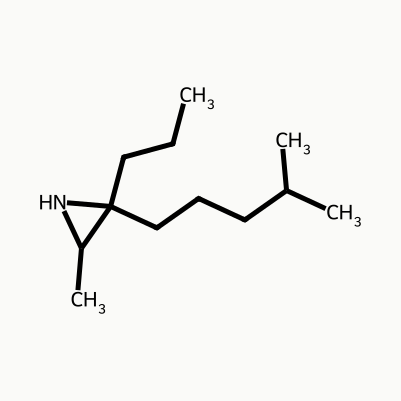 CCCC1(CCCC(C)C)NC1C